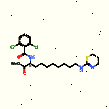 COC(=O)[C@H](CCCCCCCCNC1=NCCCS1)NC(=O)c1c(Cl)cccc1Cl